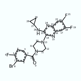 O=C(c1ccc(F)c(Br)c1)N1CCN(c2nc3cc(F)c(F)cc3nc2NC2CC2)CC1